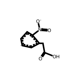 O=C(O)Cc1c[c]ccc1[N+](=O)[O-]